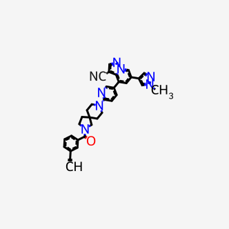 C#Cc1cccc(C(=O)N2CCC3(CCN(c4ccc(-c5cc(-c6cnn(C)c6)cn6ncc(C#N)c56)cn4)CC3)C2)c1